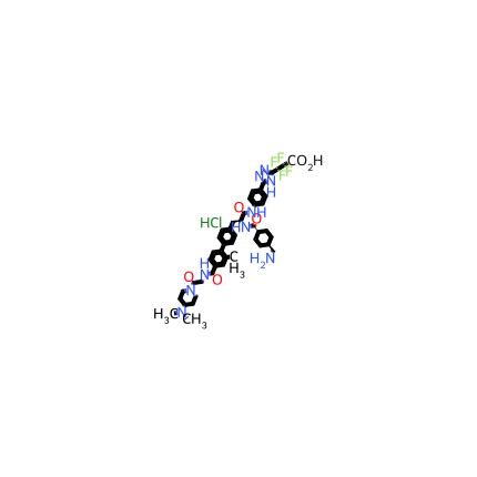 Cc1cc(C(=O)NCC(=O)N2CCC(N(C)C)CC2)ccc1-c1ccc(C[C@H](NC(=O)[C@H]2CC[C@H](CN)CC2)C(=O)Nc2ccc(-c3nnc(C(F)(F)C(F)(F)C(=O)O)[nH]3)cc2)cc1.Cl